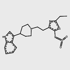 CCc1nc(CCN2CCC(c3c[nH]c4ccccc34)CC2)c(N=S(=O)=O)s1